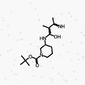 CC(=N)/C(C)=C(\O)NC1CCCN(C(=O)OC(C)(C)C)C1